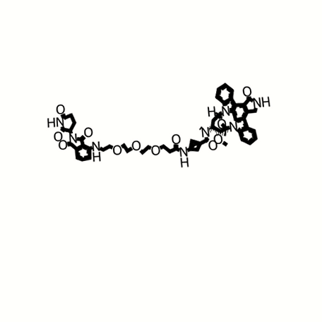 CO[C@@H]1[C@H](N(C)C(=O)C23CC(NC(=O)CCOCCOCCOCCNc4cccc5c4C(=O)N(C4CCC(=O)NC4=O)C5=O)(C2)C3)C[C@H]2O[C@]1(C)n1c3ccccc3c3c4c(c5c6ccccc6n2c5c31)C(=O)NC4